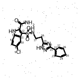 NC(=O)c1[nH]c2ccc(Cl)cc2c1S(=O)(=O)NCCc1nc(-c2ccccc2)n[nH]1